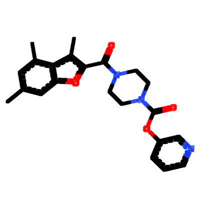 Cc1cc(C)c2c(C)c(C(=O)N3CCN(C(=O)Oc4cccnc4)CC3)oc2c1